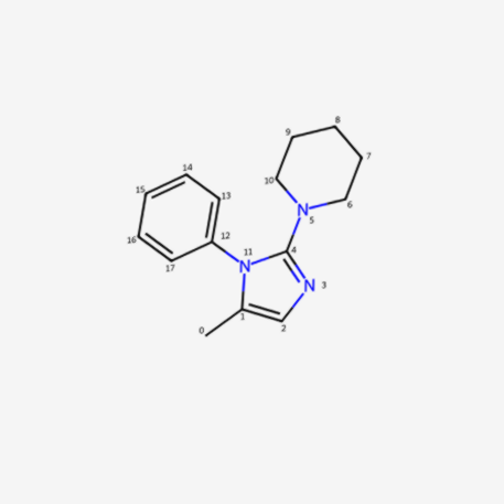 Cc1cnc(N2CCCCC2)n1-c1ccccc1